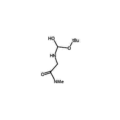 CNC(=O)CNC(O)OC(C)(C)C